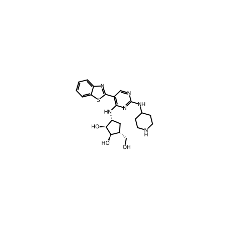 OC[C@H]1C[C@@H](Nc2nc(NC3CCNCC3)ncc2-c2nc3ccccc3s2)[C@H](O)[C@@H]1O